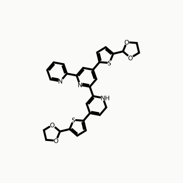 C1=C(c2cc(-c3ccc(C4OCCO4)s3)cc(-c3ccccn3)n2)NCC=C1c1ccc(C2OCCO2)s1